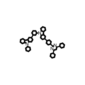 c1ccc(-c2cc(-c3ccccc3)nc(-c3ccc(-c4ccc5c(c4)c4ccccc4n5-c4cccc(-c5ccc6c(c5)c5ccccc5n6-c5ccccc5)c4)cc3)n2)cc1